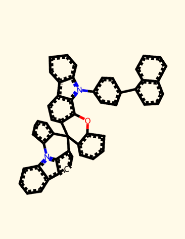 c1ccc2c(c1)Oc1c(ccc3c4ccccc4n(-c4ccc(-c5cccc6ccccc56)cc4)c13)C21c2ccccc2-n2c3ccccc3c3cccc1c32